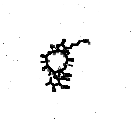 CCO[C@@H](O[C@@H]1[C@@H](C)C(=O)[C@@H](C)C(=O)O[C@H](CC)[C@@]2(C)OC(=O)N(CCCCN)[C@@H]2[C@@H](C)C(=O)[C@H](C)C[C@@]1(C)OC)C(OC)C(CC)N(C)C